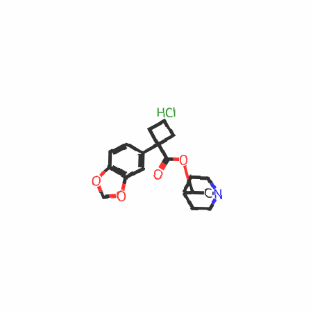 Cl.O=C(OC1CN2CCC1CC2)C1(c2ccc3c(c2)OCO3)CCC1